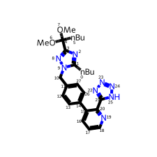 CCCCc1nc(C(CCCC)(OC)OC)nn1Cc1ccc(-c2cccnc2-c2nnn[nH]2)cc1